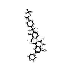 C[C@@H](Nc1nc(=O)n(C)c2c(O)cc(N3CCOCC3)cc12)c1cccc(C(F)(F)C2CCN(C(=O)OC(C)(C)C)CC2)c1F